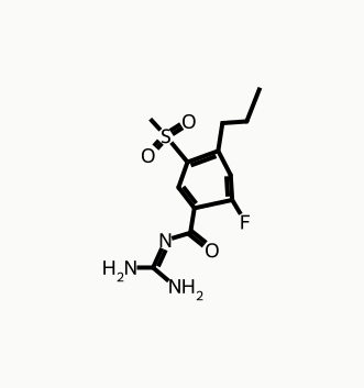 CCCc1cc(F)c(C(=O)N=C(N)N)cc1S(C)(=O)=O